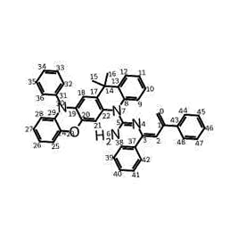 C=C(/C=C(\N=C(/N)N1c2ccccc2C(C)(C)c2cc3c(cc21)Oc1ccccc1N3c1ccccc1)c1ccccc1)c1ccccc1